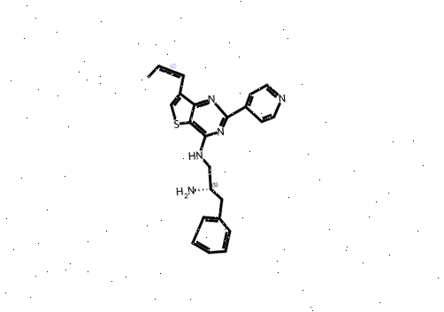 C/C=C\c1csc2c(NC[C@@H](N)Cc3ccccc3)nc(-c3ccncc3)nc12